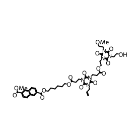 C=CCn1c(=O)n(CCC(=O)OCCCCCCOC(=O)c2ccc3cc(C(=O)OC)ccc3c2)c(=O)n(CCC(=O)OCCn2c(=O)n(CCO)c(=O)n(CCOC)c2=O)c1=O